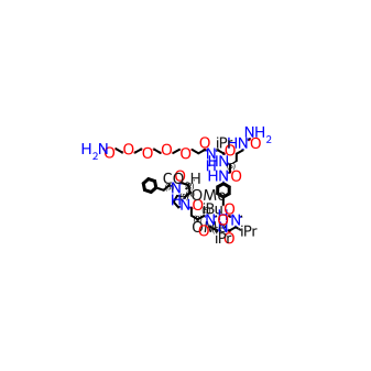 CC[C@H](C)C([C@@H](CC(=O)N1CCC[C@H]1[C@H](OC)[C@@H](C)C(=O)N[C@@H](Cc1ccccc1)C(=O)O)OC)N(C)C(=O)[C@@H](NC(=O)C(C(C)C)N(C)C(=O)OCc1ccc(NC(=O)[C@H](CCCNC(N)=O)NC(=O)C(NC(=O)CCOCCOCCOCCOCCON)C(C)C)cc1)C(C)C